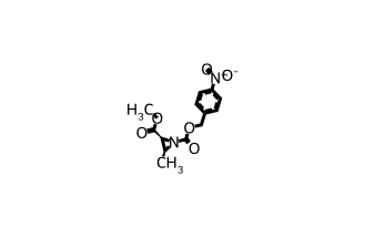 COC(=O)[C@@H]1[C@H](C)N1C(=O)OCc1ccc([N+](=O)[O-])cc1